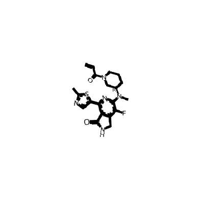 C=CC(=O)N1CCC[C@@H](N(C)c2nc(-c3cnc(C)s3)c3c(c2F)CNC3=O)C1